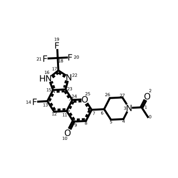 CC(=O)N1CCC(c2cc(=O)c3cc(F)c4[nH]c(C(F)(F)F)nc4c3o2)CC1